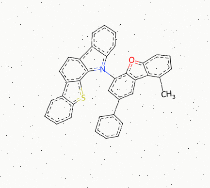 Cc1cccc2oc3c(-n4c5ccccc5c5ccc6c7ccccc7sc6c54)cc(-c4ccccc4)cc3c12